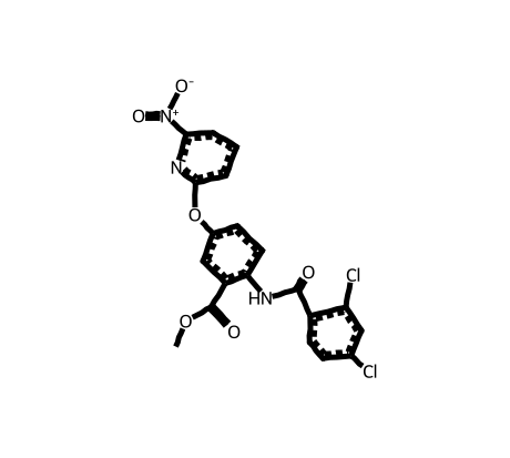 COC(=O)c1cc(Oc2cccc([N+](=O)[O-])n2)ccc1NC(=O)c1ccc(Cl)cc1Cl